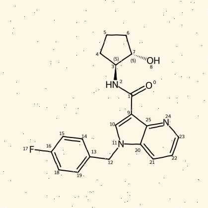 O=C(N[C@H]1CCC[C@@H]1O)c1cn(Cc2ccc(F)cc2)c2cccnc12